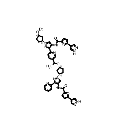 CCO[C@@H]1CC[C@H](n2cc(NC(=O)c3ccc(-c4cn[nH]c4)o3)c(-c3ccc(C(C)O[C@@H]4CC[C@H](n5cc(NC(=O)c6ccc(-c7cn[nH]c7)o6)c(-c6ccccn6)n5)C4)cn3)n2)C1